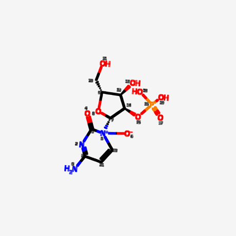 NC1=NC(=O)[N+]([O-])([C@@H]2O[C@H](CO)[C@@H](O)[C@H]2OP(=O)(O)O)C=C1